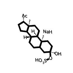 CC(=O)[C@H]1CCC2[C@H]3CCC4C[C@](O)(OS(=O)(=O)O)CC[C@]4(C)[C@@H]3CC[C@@]21C.[NaH]